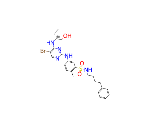 CC[C@H](CO)Nc1nc(Nc2ccc(C)c(S(=O)(=O)NCCCCc3ccccc3)c2)ncc1Br